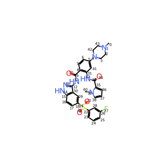 CN1CCN(c2ccc(C(=O)Nc3n[nH]c4ccc(S(=O)(=O)c5cccc(F)c5)cc34)c(NC(=O)c3cccn3C)c2)CC1